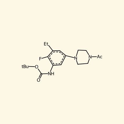 CCc1cc(N2CCN(C(C)=O)CC2)cc(NC(=O)OC(C)(C)C)c1F